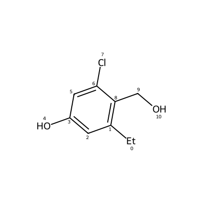 CCc1cc(O)cc(Cl)c1CO